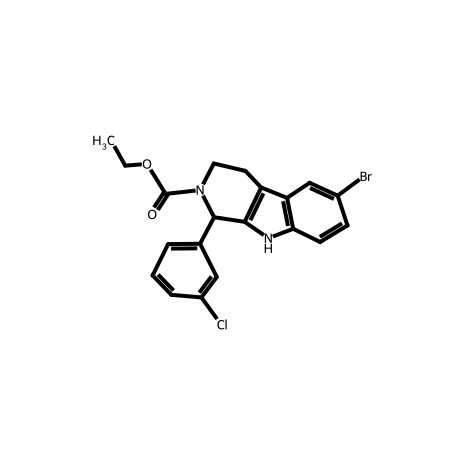 CCOC(=O)N1CCc2c([nH]c3ccc(Br)cc23)C1c1cccc(Cl)c1